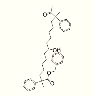 CC(=O)C(C)(CCCCCC(O)CCCCCC(C)(C(=O)OCc1ccccc1)c1ccccc1)c1ccccc1